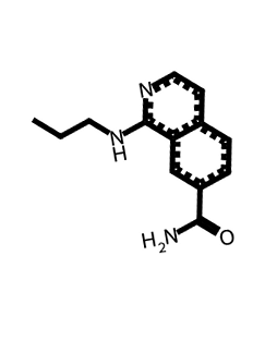 CCCNc1nccc2ccc(C(N)=O)cc12